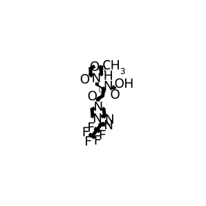 C[C@H]1CN(C[C@H](CC(=O)N2CCn3c(nnc3C(F)(F)C(F)(F)F)C2)NC(=O)O)C(=O)CO1